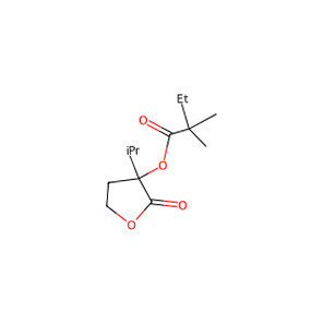 CCC(C)(C)C(=O)OC1(C(C)C)CCOC1=O